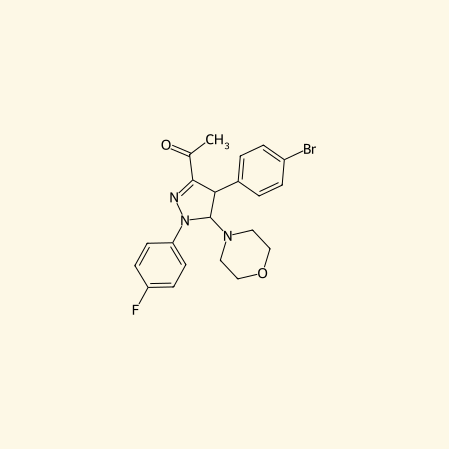 CC(=O)C1=NN(c2ccc(F)cc2)C(N2CCOCC2)C1c1ccc(Br)cc1